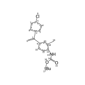 C=C(c1ccc(Cl)cc1)c1ccc(NC(=O)OC(C)(C)C)c(C)c1